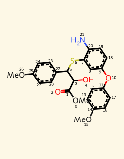 COC(=O)C(O)C(Sc1cc(Oc2ccc(OC)cc2)ccc1N)c1ccc(OC)cc1